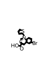 O=C(O)C1=Cc2cc(Br)ccc2N(Cc2cccs2)CC1